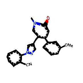 COc1cccc(-c2cc(=O)n(C)cc2-c2cnn(-c3ccccc3C#N)c2)c1